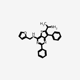 CC(N)c1sc2c(NCc3ccco3)nc(-c3ccccc3)nc2c1-c1ccccc1